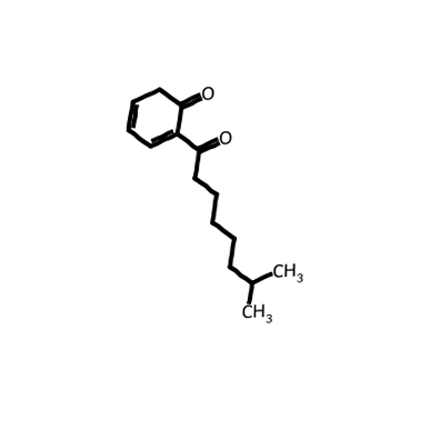 CC(C)CCCCCC(=O)C1=CC=CCC1=O